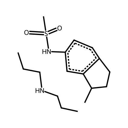 CC1CCc2ccc(NS(C)(=O)=O)cc21.CCCNCCC